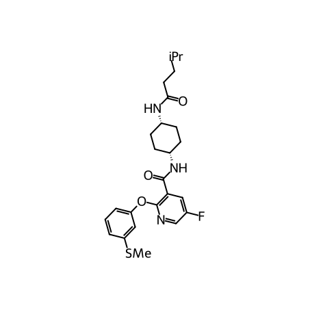 CSc1cccc(Oc2ncc(F)cc2C(=O)N[C@H]2CC[C@@H](NC(=O)CCC(C)C)CC2)c1